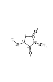 CN1C(=O)CC(SF)C1=O